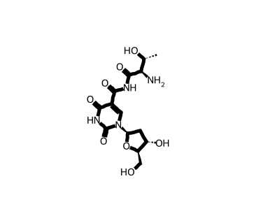 C[C@@H](O)[C@@H](N)C(=O)NC(=O)c1cn([C@H]2C[C@H](O)[C@@H](CO)O2)c(=O)[nH]c1=O